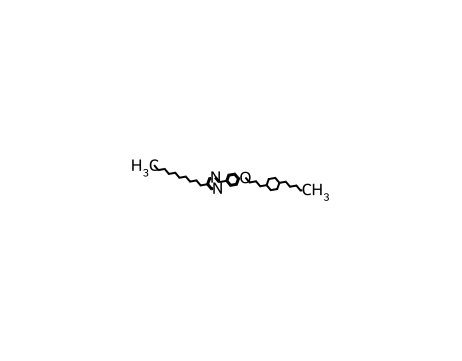 CCCCCCCCCCc1cnc(-c2ccc(OCCCC3CCC(CCCCC)CC3)cc2)nc1